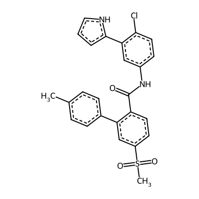 Cc1ccc(-c2cc(S(C)(=O)=O)ccc2C(=O)Nc2ccc(Cl)c(-c3ccc[nH]3)c2)cc1